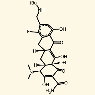 CN(C)[C@@H]1C(O)=C(C(N)=O)C(=O)[C@@]2(O)C(O)=C3C(=O)c4c(O)cc(CNC(C)(C)C)c(F)c4C[C@H]3C[C@@H]12